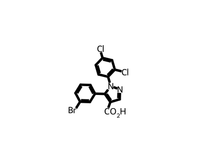 O=C(O)c1cnn(-c2ccc(Cl)cc2Cl)c1-c1cccc(Br)c1